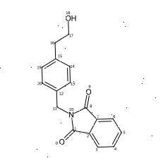 O=C1c2ccccc2C(=O)N1Cc1ccc(CCO)cc1